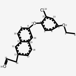 CCOc1ccc(Oc2ccc3cc(CC=O)ccc3c2)c(Cl)c1